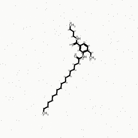 CCCCCCCCCCCCCCCCCC(=O)Nc1cc(C(=S)NCCCC)ccc1CC